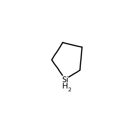 C1CC[SiH2]C1